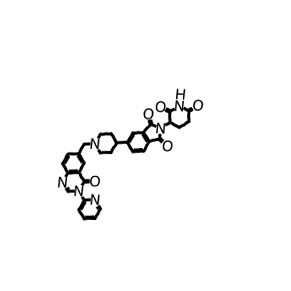 O=C1CCC(N2C(=O)c3ccc(C4CCN(Cc5ccc6ncn(-c7ccccn7)c(=O)c6c5)CC4)cc3C2=O)C(=O)N1